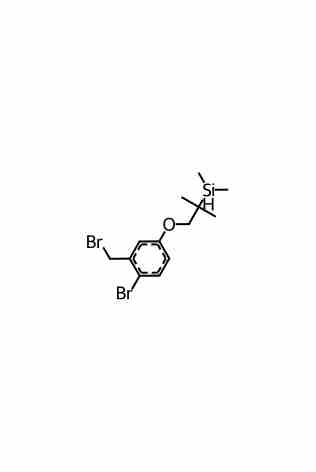 C[SiH](C)C(C)(C)COc1ccc(Br)c(CBr)c1